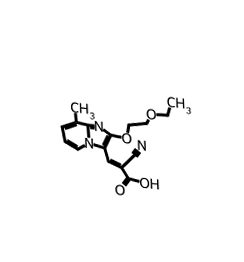 CCOCCOc1nc2c(C)cccn2c1C=C(C#N)C(=O)O